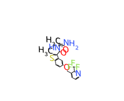 Cc1sc2ccc(OCc3cccnc3C(F)(F)F)cc2c1C(=O)N[C@H](C)C(N)=O